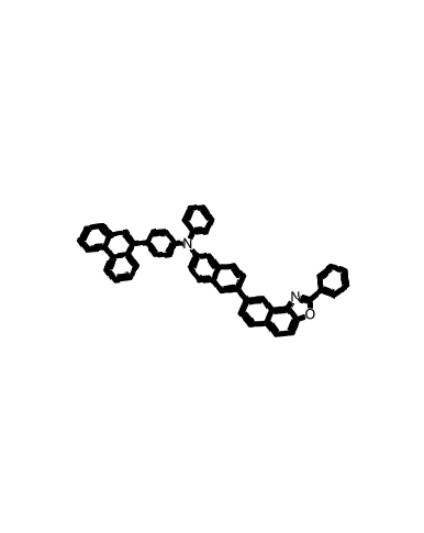 c1ccc(-c2nc3c(ccc4ccc(-c5ccc6cc(N(c7ccccc7)c7ccc(-c8cc9ccccc9c9ccccc89)cc7)ccc6c5)cc43)o2)cc1